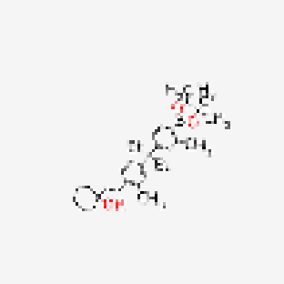 C=C1OB(c2ccc(C(CC)(CC)c3ccc(CCC4(O)CCCCC4)c(C)c3)cc2C)OC1(C)C